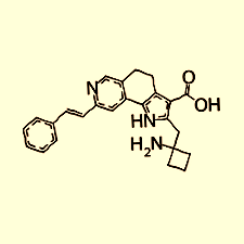 NC1(Cc2[nH]c3c(c2C(=O)O)CCc2cnc(/C=C/c4ccccc4)cc2-3)CCC1